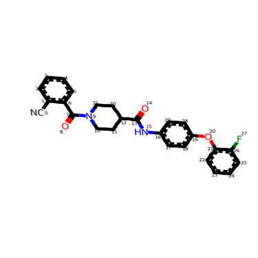 N#Cc1ccccc1C(=O)N1CCC(C(=O)Nc2ccc(Oc3ccccc3F)cc2)CC1